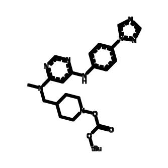 CN(CC1CCN(OC(=O)OC(C)(C)C)CC1)c1cc(Nc2ccc(-n3cncn3)cc2)ncn1